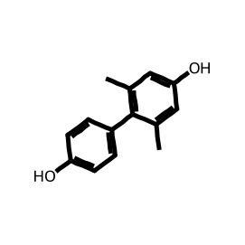 Cc1cc(O)cc(C)c1-c1ccc(O)cc1